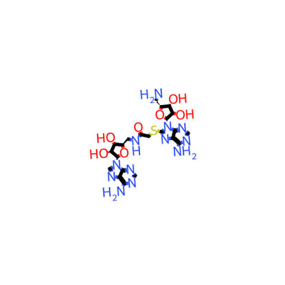 NC[C@H]1O[C@@H](n2c(SCC(=O)NC[C@H]3O[C@@H](n4cnc5c(N)ncnc54)[C@@H](O)C3O)nc3c(N)ncnc32)C(O)[C@H]1O